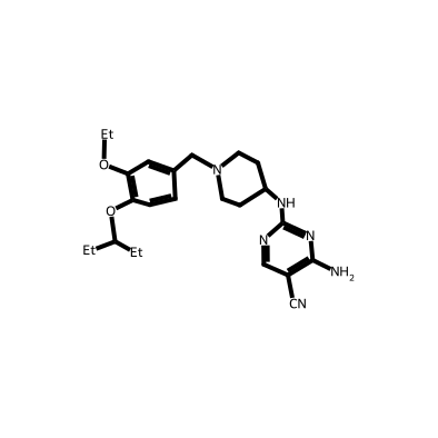 CCOc1cc(CN2CCC(Nc3ncc(C#N)c(N)n3)CC2)ccc1OC(CC)CC